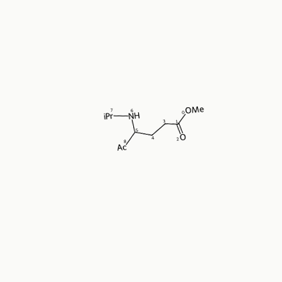 COC(=O)CCC(NC(C)C)C(C)=O